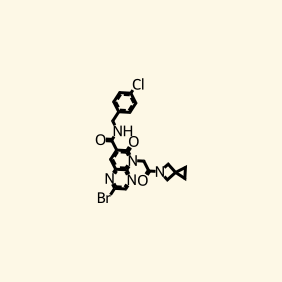 O=C(NCc1ccc(Cl)cc1)c1cc2nc(Br)cnc2n(CC(=O)N2CC3(CC3)C2)c1=O